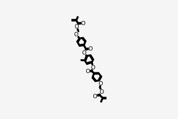 C=C(C)C(=O)OCOc1ccc(C(=O)Oc2ccc(OC(=O)c3ccc(OCOC(=O)C(=C)C)cc3)c(C)c2)cc1